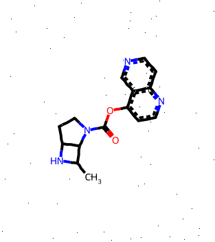 CC1NC2CCN(C(=O)Oc3ccnc4ccncc34)C12